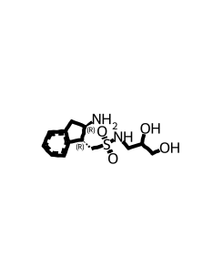 N[C@@H]1Cc2ccccc2[C@H]1CS(=O)(=O)NCC(O)CO